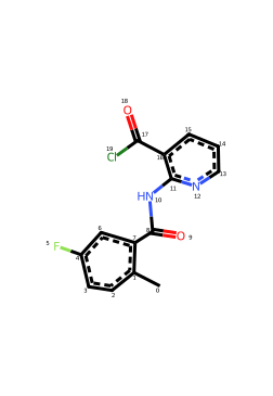 Cc1ccc(F)cc1C(=O)Nc1ncccc1C(=O)Cl